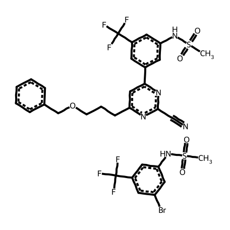 CS(=O)(=O)Nc1cc(-c2cc(CCCOCc3ccccc3)nc(C#N)n2)cc(C(F)(F)F)c1.CS(=O)(=O)Nc1cc(Br)cc(C(F)(F)F)c1